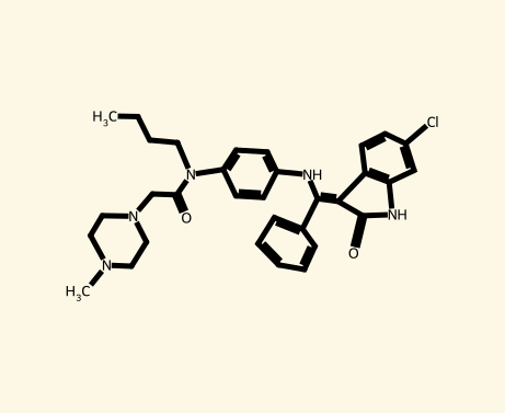 CCCCN(C(=O)CN1CCN(C)CC1)c1ccc(NC(=C2C(=O)Nc3cc(Cl)ccc32)c2ccccc2)cc1